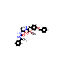 CC(C)C[C@H](NC(=O)NC(C)c1ccccc1)C(=O)N[C@@H](Cc1ccc(OCc2ccccc2)cc1)C(=O)OC(C)(C)C